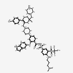 CN(C)CCCNc1ccc(S(=O)(=O)NC(=O)c2ccc(N3CCN(CC4=C(c5ccc(Cl)cc5)CCC(C)(CN5CCNCC5)C4)CC3)cc2Oc2cnc3[nH]ccc3c2)cc1S(=O)(=O)C(F)(F)F